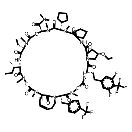 CCO[C@@H]1C[C@H]2C(=O)NC3(CCCC3)C(=O)N(C)[C@@H](C3CCCC3)C(=O)N(C)[C@H](C(=O)N(C)C)CC(=O)N(C)[C@@H](CC)C(=O)N[C@@H]([C@@H](C)CC)C(=O)N(C)CC(=O)N(C)[C@H]3C/C=C\CCN(C3=O)[C@@H](Cc3ccc(C(F)(F)F)cc3)C(=O)N(C)CC(=O)N[C@@H](CCc3cc(F)c(C(F)(F)F)c(F)c3)C(=O)N2C1